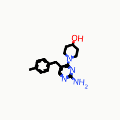 Cc1ccc(Cc2cnc(N)nc2N2CCC(O)CC2)cc1